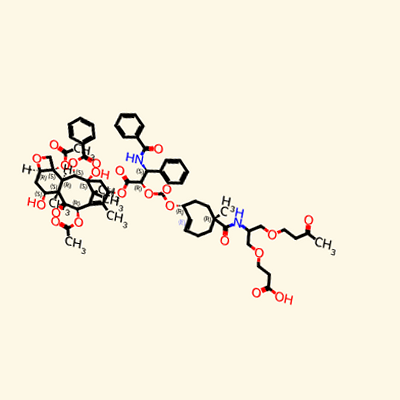 CC(=O)CCOCC(COCCC(=O)O)NC(=O)[C@]1(C)CC/C=C/[C@H](OC(=O)O[C@@H](C(=O)O[C@H]2C[C@@]3(O)[C@@H](OC(=O)c4ccccc4)[C@@H]4[C@]5(OC(C)=O)CO[C@@H]5C[C@H](O)[C@@]4(C)C(=O)[C@H](OC(C)=O)C(=C2C)C3(C)C)[C@@H](NC(=O)c2ccccc2)c2ccccc2)CC1